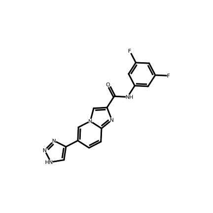 O=C(Nc1cc(F)cc(F)c1)c1cn2cc(-c3c[nH]nn3)ccc2n1